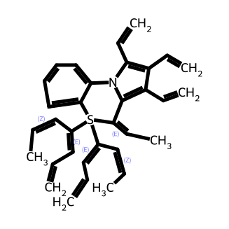 C=C/C=C(\C=C/C)S1(C(/C=C\C)=C/C=C)/C(=C/C)c2c(C=C)c(C=C)c(C=C)n2-c2ccccc21